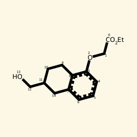 CCOC(=O)COc1cccc2c1CCC(CO)C2